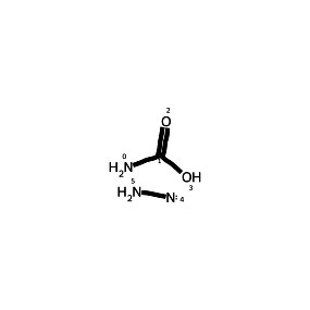 NC(=O)O.[N]N